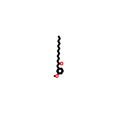 CCCCCCCCCCCC(=O)Cc1cccc(OC)c1